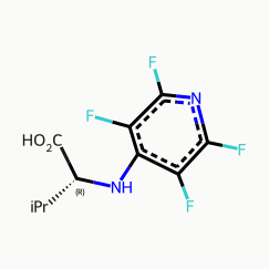 CC(C)[C@@H](Nc1c(F)c(F)nc(F)c1F)C(=O)O